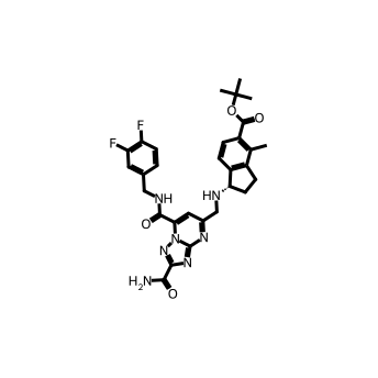 Cc1c(C(=O)OC(C)(C)C)ccc2c1CC[C@@H]2NCc1cc(C(=O)NCc2ccc(F)c(F)c2)n2nc(C(N)=O)nc2n1